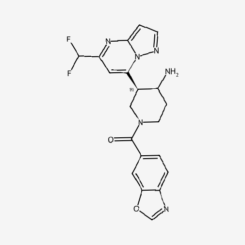 NC1CCN(C(=O)c2ccc3ncoc3c2)C[C@H]1c1cc(C(F)F)nc2ccnn12